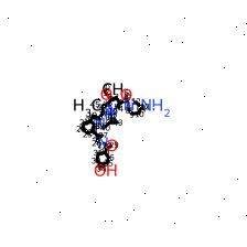 COc1cc(C(=O)N2CCC[C@@H](N)C2)cn2nc(-c3cc4cccc(C5CN(C(=O)C6CCC(O)CC6)C5)c4n3CC3CC3)c(C)c12